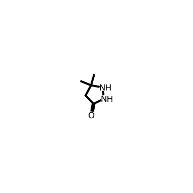 CC1(C)CC(=O)NN1